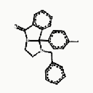 Cc1ccc(C23c4ccccc4C(=O)N2CCN3Cc2ccccc2)cc1